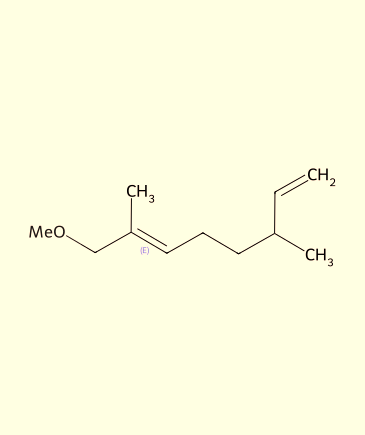 C=CC(C)CC/C=C(\C)COC